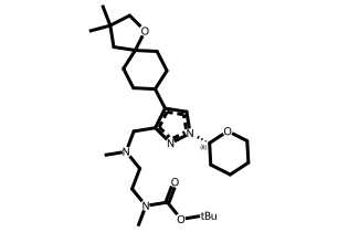 CN(CCN(C)C(=O)OC(C)(C)C)Cc1nn([C@H]2CCCCO2)cc1C1CCC2(CC1)CC(C)(C)CO2